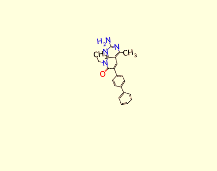 CCn1c(=O)c(-c2ccc(-c3ccccc3)cc2)cc2c(C)nc(N)nc21